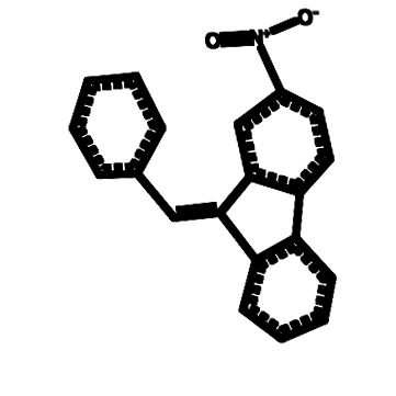 O=[N+]([O-])c1ccc2c(c1)C(=Cc1ccccc1)c1ccccc1-2